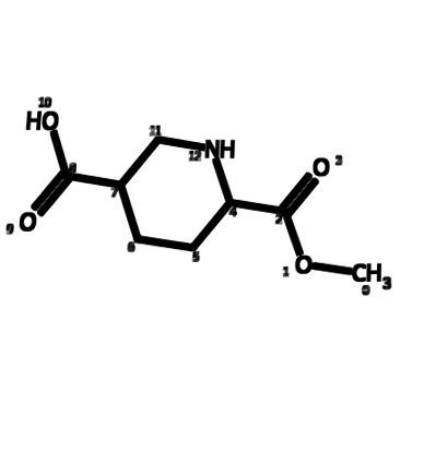 COC(=O)C1CCC(C(=O)O)CN1